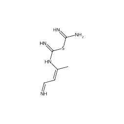 C/C(=C/C=N)NC(=N)SC(=N)N